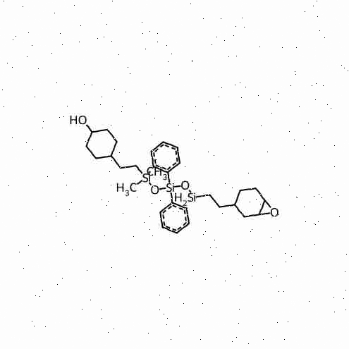 C[Si](C)(CCC1CCC(O)CC1)O[Si](O[SiH2]CCC1CCC2OC2C1)(c1ccccc1)c1ccccc1